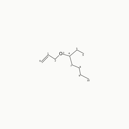 C=CCOC(CC)CCCC